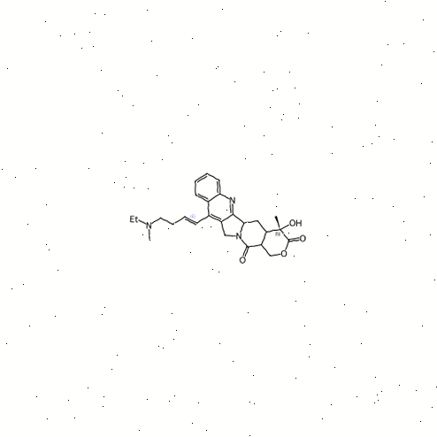 CCN(C)CC/C=C/c1c2c(nc3ccccc13)C1CC3C(COC(=O)[C@@]3(C)O)C(=O)N1C2